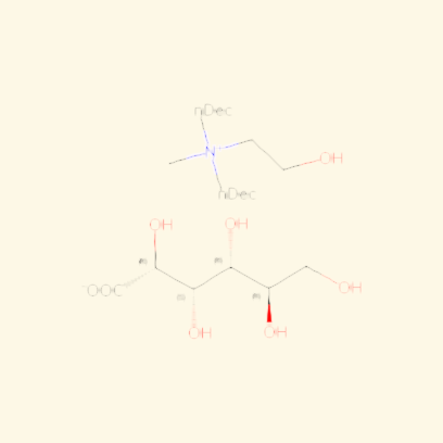 CCCCCCCCCC[N+](C)(CCO)CCCCCCCCCC.O=C([O-])[C@H](O)[C@@H](O)[C@H](O)[C@H](O)CO